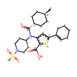 CS(=O)(=O)N1CCC(N(c2cc(C3=CCCCC3)sc2C(=O)O)C(=O)[C@H]2CC[C@H](C)CC2)CC1